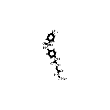 CCCCCCNC(=O)CNC(=O)Nc1ccc(NS(=O)(=O)c2ccc(C)cc2)cc1